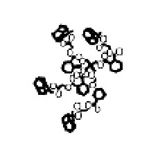 CC1(OC(=O)COC(=O)C2CCCC(OCOCC(COC(=O)C3CCCCC3C(=O)OCC(=O)OC3(C)C4CC5CC(C4)CC3C5)(COC(=O)C3CCCCC3C(=O)OCC(=O)OC3(C)C4CC5CC(C4)CC3C5)COC(=O)C3CCCCC3C(=O)OCC(=O)OC3(C)C4CC5CC(C4)CC3C5)C2)C2CC3CC(C2)CC1C3